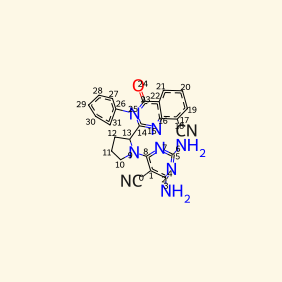 N#Cc1c(N)nc(N)nc1N1CCCC1c1nc2c(C#N)cccc2c(=O)n1-c1ccccc1